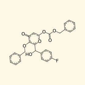 O=C(OCc1ccccc1)Oc1cc(=O)c(OCc2ccccc2)c(C(O)c2ccc(F)cc2)o1